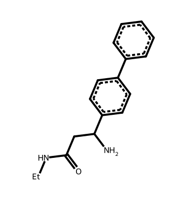 CCNC(=O)CC(N)c1ccc(-c2ccccc2)cc1